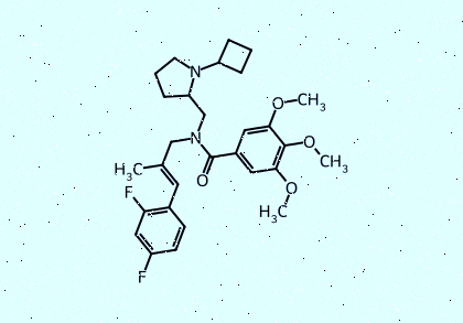 COc1cc(C(=O)N(CC(C)=Cc2ccc(F)cc2F)CC2CCCN2C2CCC2)cc(OC)c1OC